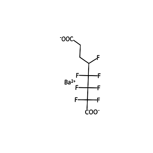 O=C([O-])CCC(F)C(F)(F)C(F)(F)C(F)(F)C(=O)[O-].[Ba+2]